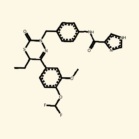 CCC1SC(=O)N(Cc2ccc(NC(=O)c3c[nH]cn3)cc2)N=C1c1ccc(OC(F)F)c(OC)c1